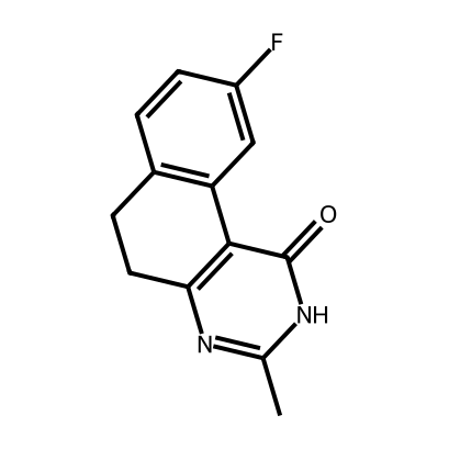 Cc1nc2c(c(=O)[nH]1)-c1cc(F)ccc1CC2